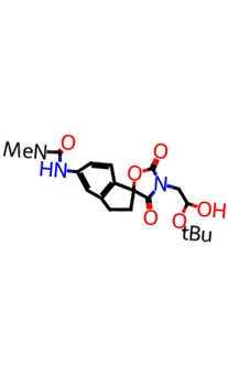 CNC(=O)Nc1ccc2c(c1)CCC21OC(=O)N(CC(O)OC(C)(C)C)C1=O